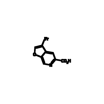 CC(C)c1coc2cnc(C(=O)O)cc12